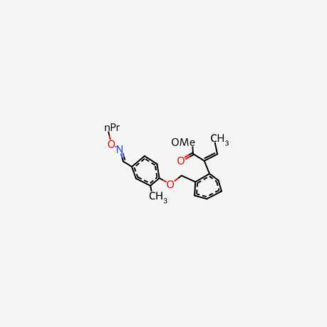 CC=C(C(=O)OC)c1ccccc1COc1ccc(C=NOCCC)cc1C